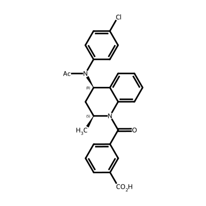 CC(=O)N(c1ccc(Cl)cc1)[C@@H]1C[C@H](C)N(C(=O)c2cccc(C(=O)O)c2)c2ccccc21